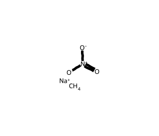 C.O=[N+]([O-])[O-].[Na+]